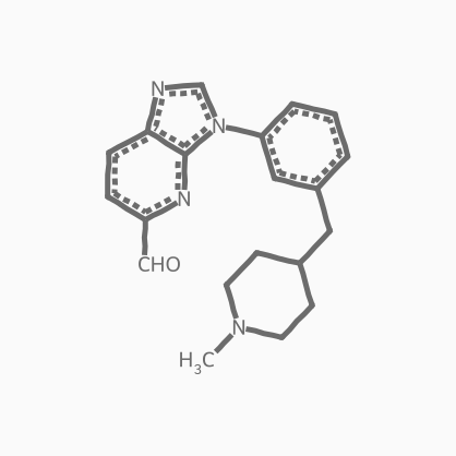 CN1CCC(Cc2cccc(-n3cnc4ccc(C=O)nc43)c2)CC1